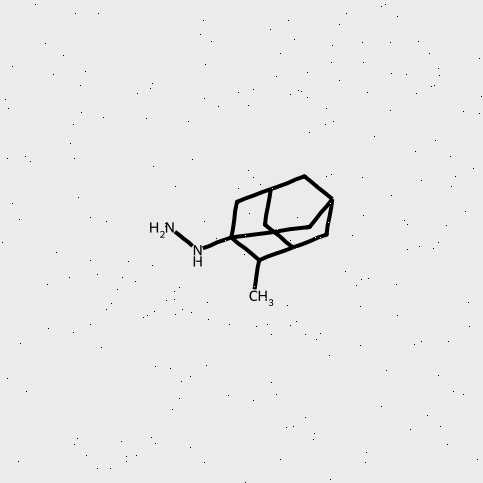 CC1C2CC3CC(C2)CC1(NN)C3